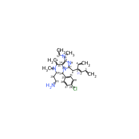 C=C/C=C(\C=C)Cc1nc(N(C)C=C)c(C(=C)N(C)CCCN)n1Cc1ccc(Cl)cc1